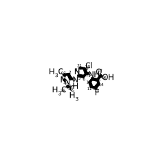 Cc1cc(Nc2cc(Nc3ccc(F)cc3C(=O)O)c(Cl)cn2)n(C(C)C)n1